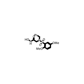 COc1ccc(OC)c(S(=O)(=O)N(CC(=O)NO)CC(C)C)c1